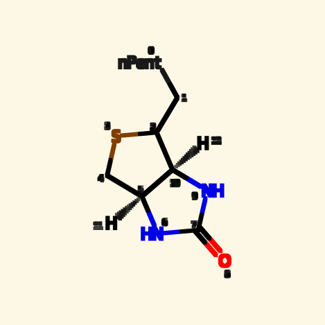 CCCCCCC1SC[C@@H]2NC(=O)N[C@H]12